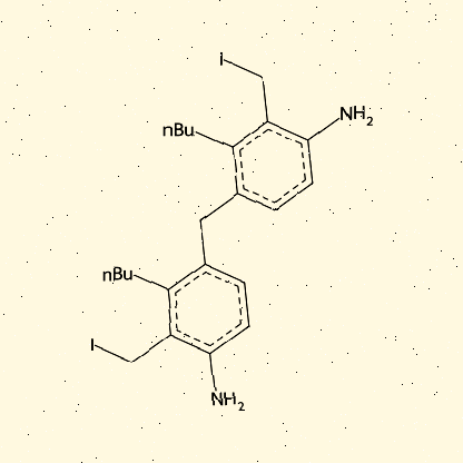 CCCCc1c(Cc2ccc(N)c(CI)c2CCCC)ccc(N)c1CI